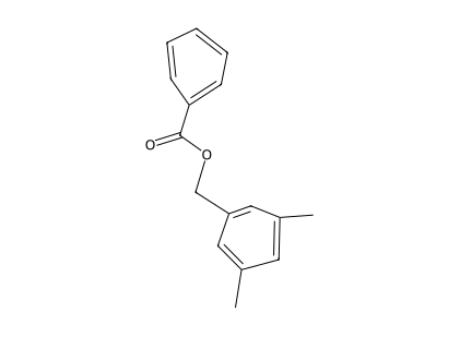 Cc1cc(C)cc(COC(=O)c2ccccc2)c1